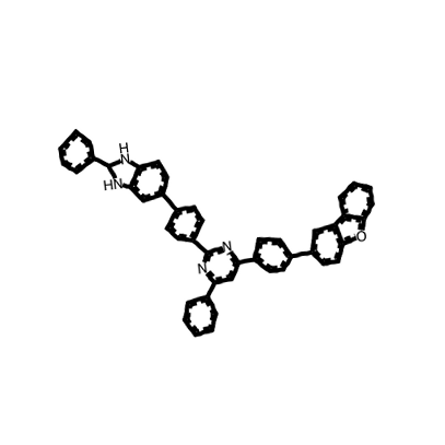 c1ccc(-c2cc(-c3ccc(-c4ccc5oc6ccccc6c5c4)cc3)nc(-c3ccc(-c4ccc5c(c4)NC(c4ccccc4)N5)cc3)n2)cc1